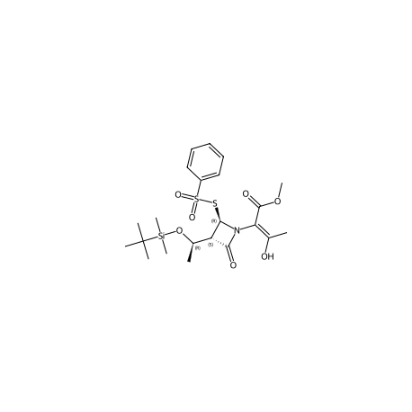 COC(=O)C(=C(C)O)N1C(=O)[C@H]([C@@H](C)O[Si](C)(C)C(C)(C)C)[C@H]1SS(=O)(=O)c1ccccc1